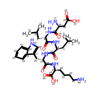 CC(C)C[C@H](NC(=O)[C@H](CC(C)C)NC(=O)[C@@H](N)CC(=O)O)C(=O)N[C@@H](Cc1c[nH]c2ccccc12)C(=O)N[C@@H](CCCCN)C(=O)O